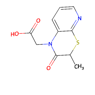 CC1Sc2ncccc2N(CC(=O)O)C1=O